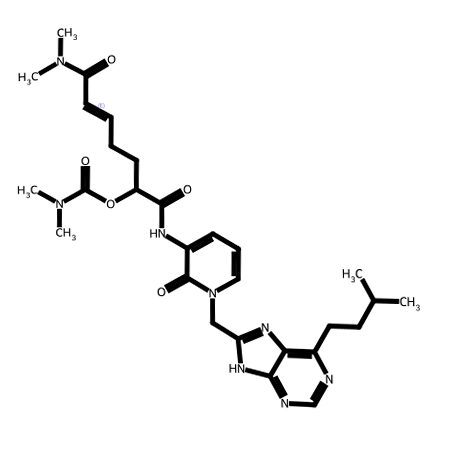 CC(C)CCc1ncnc2[nH]c(Cn3cccc(NC(=O)C(CC/C=C/C(=O)N(C)C)OC(=O)N(C)C)c3=O)nc12